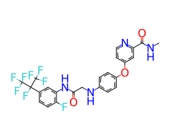 CNC(=O)c1cc(Oc2ccc(NCC(=O)Nc3cc(C(F)(C(F)(F)F)C(F)(F)F)ccc3F)cc2)ccn1